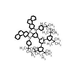 CC(C)(C)c1ccc(N2c3cc4c(ccc5ccccc54)cc3B3c4cc5ccc6ccccc6c5cc4N(c4ccc(C(C)(C)C)cc4)c4cc(-c5cc(-c6cc(C(C)(C)C)cc(C(C)(C)C)c6)nc(-c6cc(C(C)(C)C)cc(C(C)(C)C)c6)n5)cc2c43)cc1